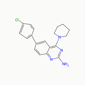 Nc1nc(N2CCCCC2)c2cc(-c3ccc(Cl)cc3)ccc2n1